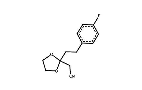 N#CCC1(CCc2ccc(F)cc2)OCCO1